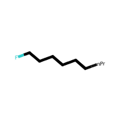 [CH2]CCCCCCCCF